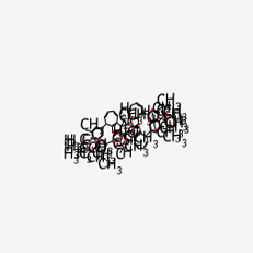 CCC1=CC2=C(C=CC=CC2c2cc(CC)c(C(C)(C)C)c(CC)c2)[C]12[SiH](C)[C]1(C(CC)=CC3=C1C=CC=CC3c1cc(CC)c(C(C)(C)C)c(CC)c1)[Hf]21([Cl])([Cl])[C]2(C(CC)=CC3=C2C=CC=CC3c2cc(CC)c(C(C)(C)C)c(CC)c2)[SiH](C)[C]12C(CC)=CC1=C2C=CC=CC1c1cc(CC)c(C(C)(C)C)c(CC)c1